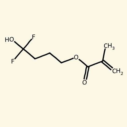 C=C(C)C(=O)OCCCC(O)(F)F